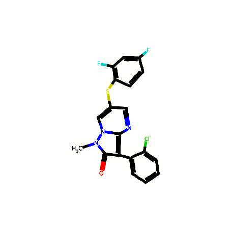 Cn1c(=O)c(-c2ccccc2Cl)c2ncc(Sc3ccc(F)cc3F)cn21